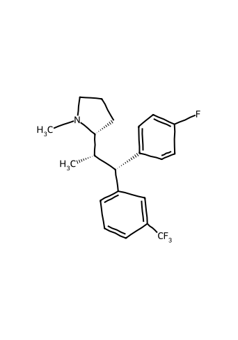 C[C@@H]([C@H](c1ccc(F)cc1)c1cccc(C(F)(F)F)c1)[C@H]1CCCN1C